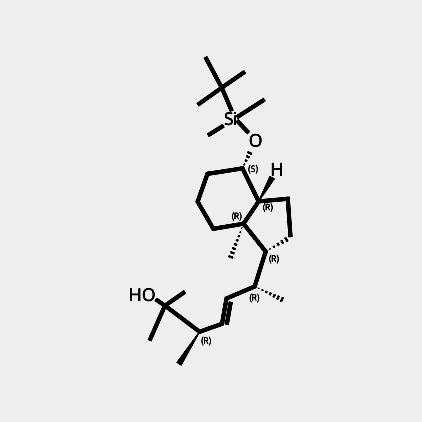 C[C@H](C=C[C@@H](C)C(C)(C)O)[C@H]1CC[C@H]2[C@@H](O[Si](C)(C)C(C)(C)C)CCC[C@]12C